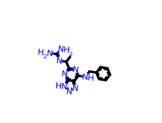 CC(N=C(N)N)c1nc(NCc2ccccc2)c2nn[nH]c2n1